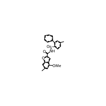 COc1cc(C)cc2oc(C(=O)N[S+]([O-])c3ccc(C)cc3-c3ccccc3)cc12